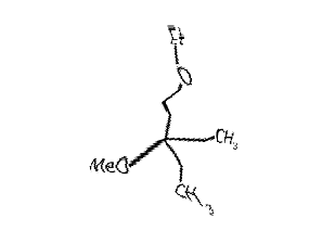 [CH2]OC(C)(C)COCC